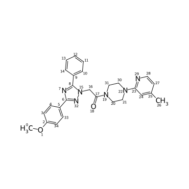 COc1ccc(-c2nc(-c3ccccc3)n(CC(=O)N3CCN(c4cc(C)ccn4)CC3)n2)cc1